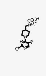 O=C(O)NCC1CCN(c2nc(Cl)ncc2F)CC1